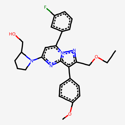 CCOCc1nn2c(-c3cccc(F)c3)cc(N3CCCC3CO)nc2c1-c1ccc(OC)cc1